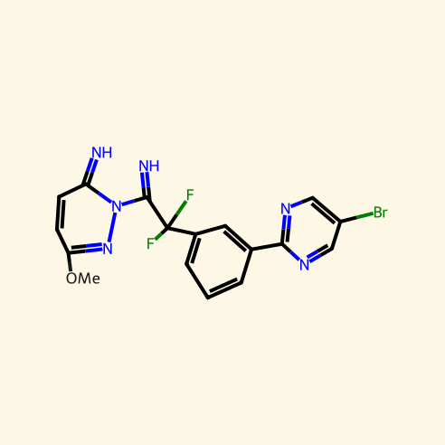 COc1ccc(=N)n(C(=N)C(F)(F)c2cccc(-c3ncc(Br)cn3)c2)n1